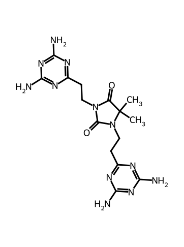 CC1(C)C(=O)N(CCc2nc(N)nc(N)n2)C(=O)N1CCc1nc(N)nc(N)n1